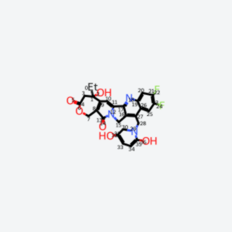 CCC1(O)CC(=O)OCc2c1cc1n(c2=O)Cc2c-1nc1cc(F)c(F)cc1c2CN1CC(O)=CC=C1O